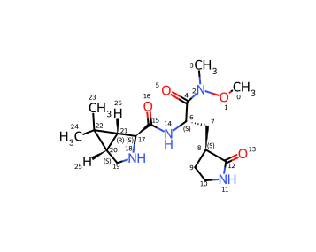 CON(C)C(=O)[C@H](C[C@@H]1CCNC1=O)NC(=O)[C@H]1NC[C@H]2[C@@H]1C2(C)C